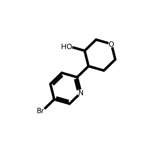 OC1COCCC1c1ccc(Br)cn1